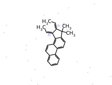 C/C=C1\C(=C/C)c2c(ccc3c2ccc2ccccc23)C1(C)C